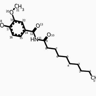 CCCCCCCCCC(=O)NC(=O)c1ccc(O)c(OC)c1